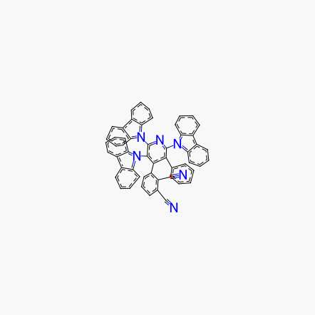 N#Cc1cccc(-c2c(-c3ccccc3)c(-n3c4ccccc4c4ccccc43)nc(-n3c4ccccc4c4ccccc43)c2-n2c3ccccc3c3ccccc32)c1C#N